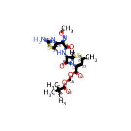 CO/N=C(/C(=O)NC1C(=O)N2C(C(=O)OCOC(=O)C(C)(C)C)=CC(C)S[C@H]12)c1csc(N)n1